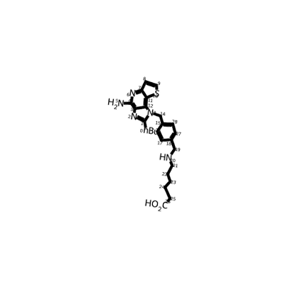 CCCCc1nc2c(N)nc3ccsc3c2n1Cc1ccc(CNCCCCCC(=O)O)cc1